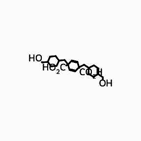 O=C(O)C1(CC2CCC(CO)CC2)C=CC(CC2CCC(CO)CC2)(C(=O)O)C=C1